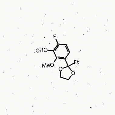 CCC1(c2ccc(F)c(C=O)c2OC)OCCO1